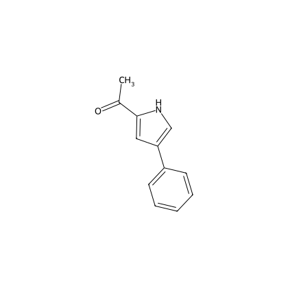 CC(=O)c1cc(-c2ccccc2)c[nH]1